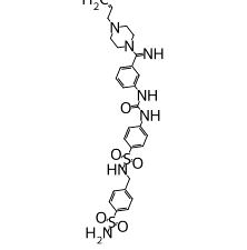 C=CCN1CCN(C(=N)c2cccc(NC(=O)Nc3ccc(S(=O)(=O)NCc4ccc(S(N)(=O)=O)cc4)cc3)c2)CC1